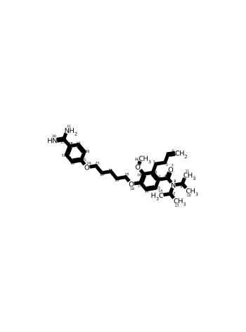 C=CCCc1c(C(=O)N(C(C)C)C(C)C)ccc(OCCCCCOc2ccc(C(=N)N)cc2)c1OC